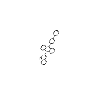 c1ccc(-c2ccc(-c3c4ccccc4c(-c4cnc5ccccc5c4)c4ccccc34)cc2)cc1